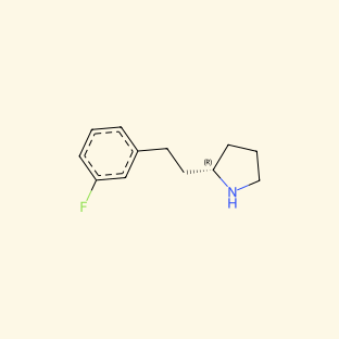 Fc1cccc(CC[C@@H]2CCCN2)c1